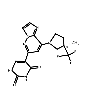 C[C@@]1(C(F)(F)F)CCN(c2cc(-c3c[nH]c(=O)[nH]c3=O)nn3ccnc23)C1